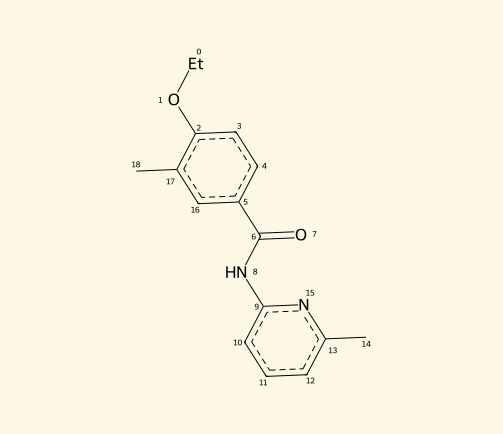 CCOc1ccc(C(=O)Nc2cccc(C)n2)cc1C